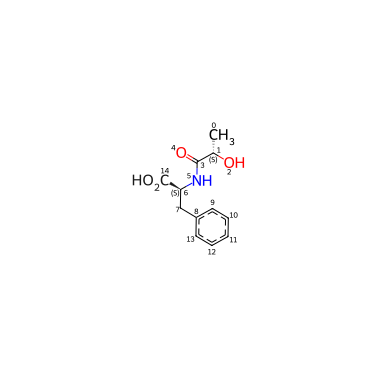 C[C@H](O)C(=O)N[C@@H](Cc1ccccc1)C(=O)O